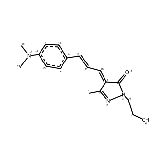 CC1=NN(CCO)C(=O)C1=CC=Cc1ccc(N(C)C)cc1